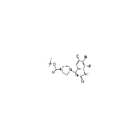 CC(C)(C)OC(=O)N1CCN(c2nc(=O)[nH]c3c(F)c(Br)c(Cl)cc23)CC1